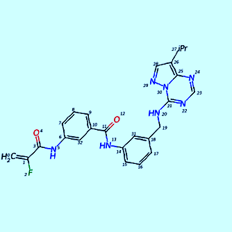 C=C(F)C(=O)Nc1cccc(C(=O)Nc2cccc(CNc3ncnc4c(C(C)C)cnn34)c2)c1